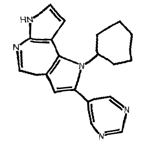 c1ncc(-c2cc3cnc4[nH]ccc4c3n2C2CCCCC2)cn1